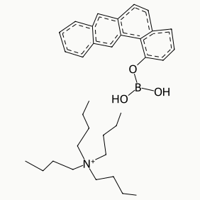 CCCC[N+](CCCC)(CCCC)CCCC.OB(O)Oc1cccc2ccc3cc4ccccc4cc3c12